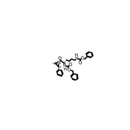 C[C@H]1[C@@H](c2ccccc2)N1C(=O)[C@H](CCCCNC(=O)OCc1ccccc1)NC(=O)OCc1ccccc1